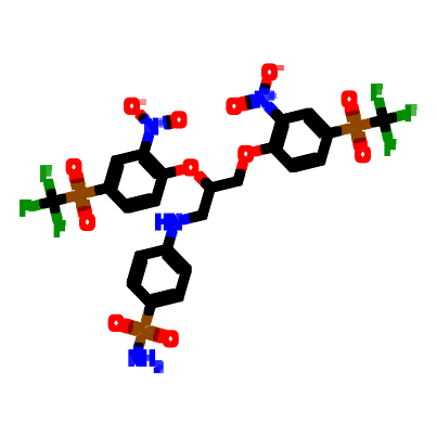 NS(=O)(=O)c1ccc(NCC(COc2ccc(S(=O)(=O)C(F)(F)F)cc2[N+](=O)[O-])Oc2ccc(S(=O)(=O)C(F)(F)F)cc2[N+](=O)[O-])cc1